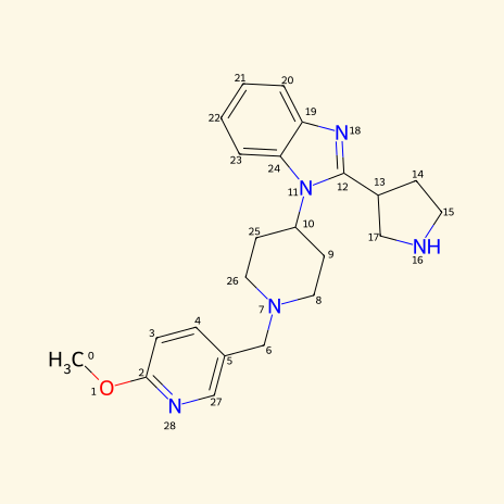 COc1ccc(CN2CCC(n3c(C4CCNC4)nc4ccccc43)CC2)cn1